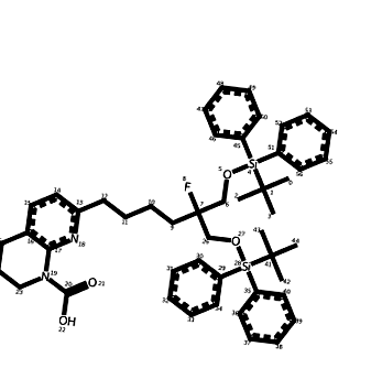 CC(C)(C)[Si](OCC(F)(CCCCc1ccc2c(n1)N(C(=O)O)CCC2)CO[Si](c1ccccc1)(c1ccccc1)C(C)(C)C)(c1ccccc1)c1ccccc1